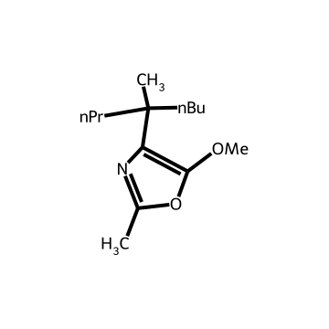 CCCCC(C)(CCC)c1nc(C)oc1OC